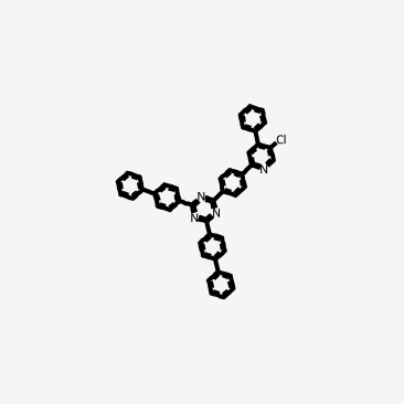 Clc1cnc(-c2ccc(-c3nc(-c4ccc(-c5ccccc5)cc4)nc(-c4ccc(-c5ccccc5)cc4)n3)cc2)cc1-c1ccccc1